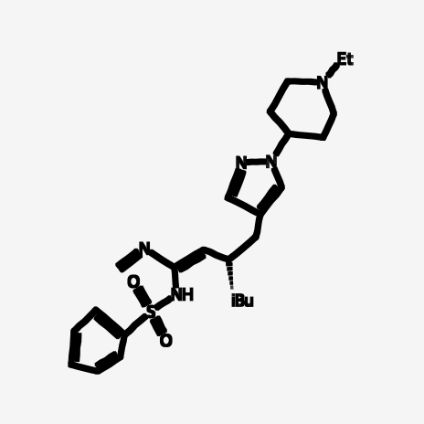 C=NC(=CC(Cc1cnn(C2CCN(CC)CC2)c1)[C@@H](C)CC)NS(=O)(=O)c1ccccc1